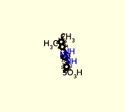 Cc1cc(C)c2ccc(Nc3nccc(Nc4ccc(S(=O)(=O)O)cc4)n3)cc2c1